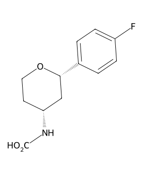 O=C(O)N[C@@H]1CCO[C@H](c2ccc(F)cc2)C1